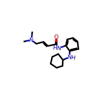 CN(C)C/C=C/C(=O)Nc1ccccc1NC1CCCCC1